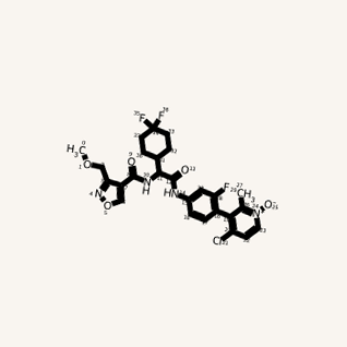 COCc1nocc1C(=O)NC(C(=O)Nc1ccc(-c2c(Cl)cc[n+]([O-])c2C)c(F)c1)C1CCC(F)(F)CC1